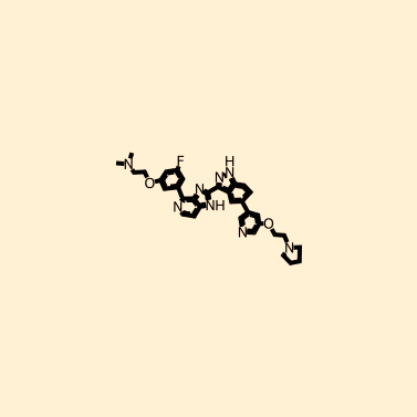 CN(C)CCOc1cc(F)cc(-c2nccc3[nH]c(-c4n[nH]c5ccc(-c6cncc(OCCN7CCCC7)c6)cc45)nc23)c1